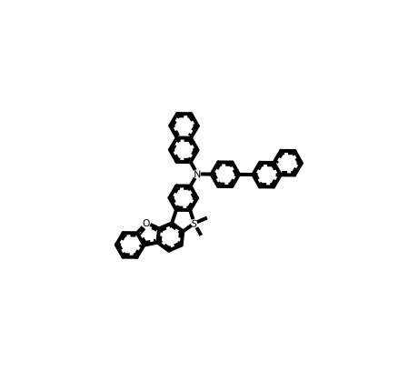 CS1(C)c2cc(N(c3ccc(-c4ccc5ccccc5c4)cc3)c3ccc4ccccc4c3)ccc2-c2c1ccc1c2oc2ccccc21